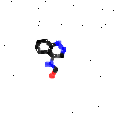 O=CNc1cnnc2ccccc12